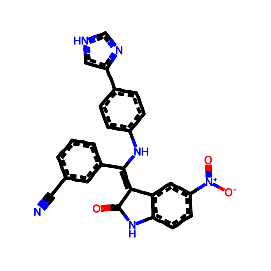 N#Cc1cccc(C(Nc2ccc(-c3c[nH]cn3)cc2)=C2C(=O)Nc3ccc([N+](=O)[O-])cc32)c1